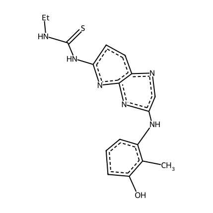 CCNC(=S)Nc1ccc2ncc(Nc3cccc(O)c3C)nc2n1